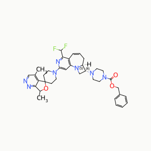 Cc1cnnc2c1C1(CCN(c3cc4c(c(C(F)F)n3)C=CC[C@H]3[C@H](N5CCN(C(=O)OCc6ccccc6)CC5)CN43)CC1)OC2C